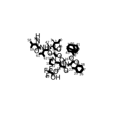 CC[C@H](C)[C@@H]([C@@H](CC(=O)N1CCC[C@H]1[C@H](OC)[C@@H](C)C(=O)N[C@@H](Cc1ccccc1)C(=O)OCC12CC3CC(CC(C3)C1)C2)OC)N(C)C(=O)[C@@H](NC(=O)[C@@H](NC)C(C)C)C(C)C.O=C(O)C(F)(F)F